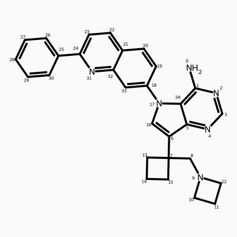 Nc1ncnc2c(C3(CN4CCC4)CCC3)cn(-c3ccc4ccc(-c5ccccc5)nc4c3)c12